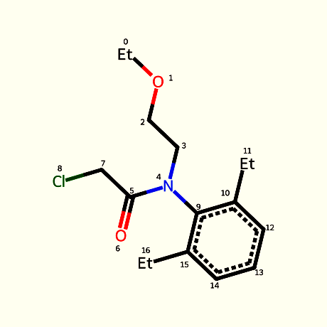 CCOCCN(C(=O)CCl)c1c(CC)cccc1CC